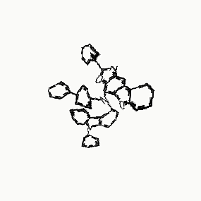 c1ccc(-c2ccc(N(c3c4oc(-c5ccccc5)nc4cc4c3oc3ccccc34)c3cccc4c3c3ccccc3n4-c3ccccc3)cc2)cc1